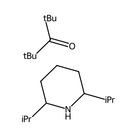 CC(C)(C)C(=O)C(C)(C)C.CC(C)C1CCCC(C(C)C)N1